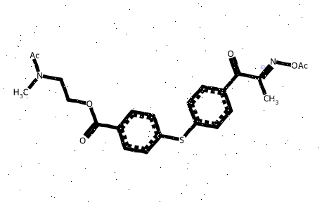 CC(=O)O/N=C(\C)C(=O)c1ccc(Sc2ccc(C(=O)OCCN(C)C(C)=O)cc2)cc1